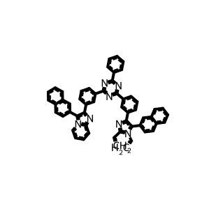 C=Cc1nc(-c2cccc(-c3nc(-c4ccccc4)nc(-c4cccc(-c5nc6ccccn6c5-c5ccc6ccccc6c5)c4)n3)c2)c(-c2ccc3ccccc3c2)n1C=C